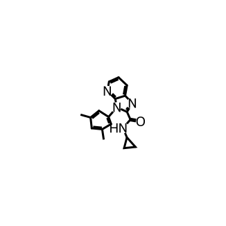 Cc1cc(C)cc(-n2c(C(=O)NC3CC3)nc3cccnc32)c1